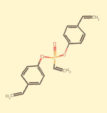 C=Cc1ccc(OP(=O)(C=C)Oc2ccc(C=C)cc2)cc1